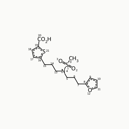 CS(=O)(=O)N(CCCc1ccco1)CCCc1ccc(C(=O)O)s1